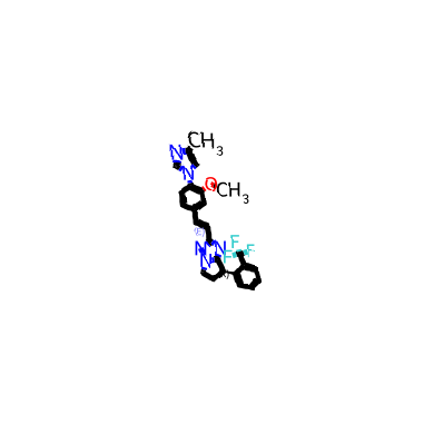 COc1cc(/C=C/c2nc3n(n2)CC[C@@H]3c2ccccc2C(F)(F)F)ccc1-n1cnc(C)c1